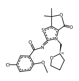 COc1ccc(Cl)cc1C(=O)N=c1sc2c(n1C[C@H]1CCCO1)C(=O)OC2(C)C